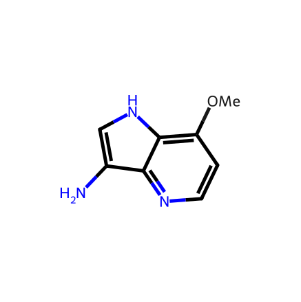 COc1ccnc2c(N)c[nH]c12